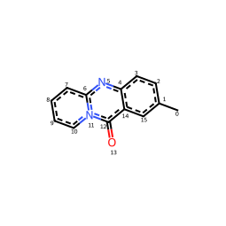 Cc1ccc2nc3ccccn3c(=O)c2c1